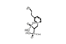 CC(C)CCc1ccc[n+](CC(P(=O)(O)O)P(=O)(O)O)c1